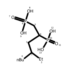 CCCCC(CC)CC(CP(=O)(O)O)P(=O)(O)O